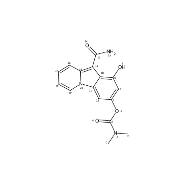 CN(C)C(=O)Oc1cc(O)c2c(C(N)=O)c3ccccn3c2c1